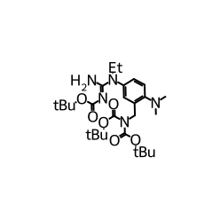 CCN(C(N)=NC(=O)OC(C)(C)C)c1ccc(N(C)C)c(CN(C(=O)OC(C)(C)C)C(=O)OC(C)(C)C)c1